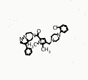 Cc1c(CN2CCN(c3ccccc3Cl)CC2)cc(C(=O)N2CCn3ncc(-c4ccccc4)c3C2)n1C